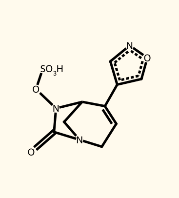 O=C1N2CC=C(c3cnoc3)C(C2)N1OS(=O)(=O)O